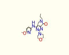 CCCN1Cc2c(Nc3ccc(OC)nc3)nc(N3CCOCC3)nc2C1=O